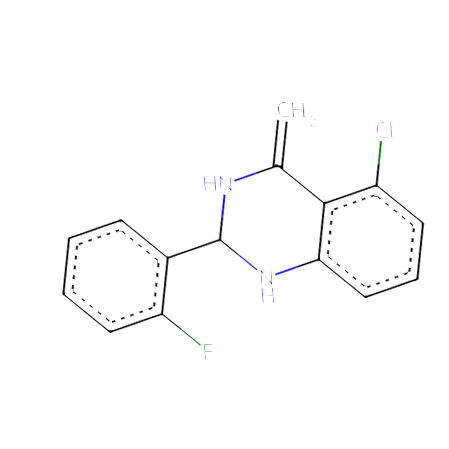 C=C1NC(c2ccccc2F)Nc2cccc(Cl)c21